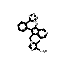 Cc1c(C(=O)O)ncn1Cc1c2ccocc-2c(Br)c1-c1ccccc1-c1nnn[nH]1